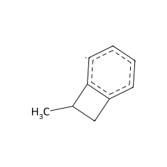 CC1Cc2ccc[c]c21